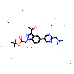 CC(=O)c1nn(CC(=O)OC(C)(C)C)c2ccc(-c3cnc(CN(C)C)nc3)cc12